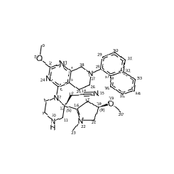 COc1nc2c(c(N3CCNC[C@@]3(CC#N)C3C[C@@H](OC)CN3C)n1)CCN(c1cccc3ccccc13)C2